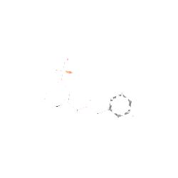 CP(=O)(O)OO[C@H](CO)COCc1ccccc1